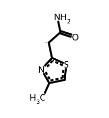 Cc1csc([CH]C(N)=O)n1